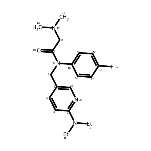 CCN(CC)c1ccc(CN(C(=O)CN(C)C)c2ccc(F)cc2)cn1